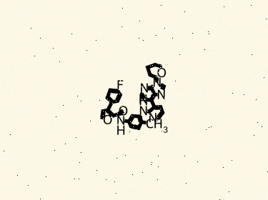 Cc1ccc(NC(=O)c2occc2-c2ccc(F)cc2)cc1Nc1ncccc1-c1ncnc2c1ncn2C1CCCCO1